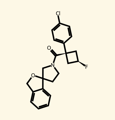 O=C(N1CCC2(C1)OCc1ccccc12)[C@]1(c2ccc(Cl)cc2)C[C@H](F)C1